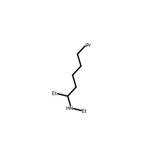 CCNC(CC)CCCCC(C)C